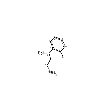 CCC(CCN)c1ccccc1C